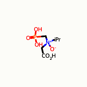 CC(C)[N+]([O-])(CC(=O)O)CP(=O)(O)O